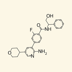 Nc1ncc(C2CCOCC2)cc1-c1ccc(C(=O)NC(CO)c2ccccc2)c(F)c1